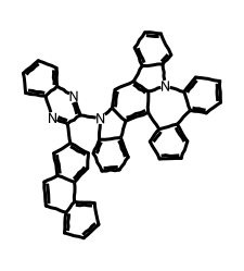 c1ccc2c(c1)-c1ccccc1-n1c3ccccc3c3cc4c(c-2c31)c1ccccc1n4-c1nc2ccccc2nc1-c1ccc2c(ccc3ccccc32)c1